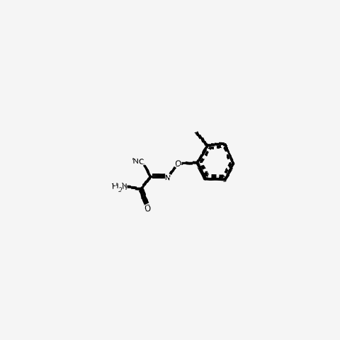 Cc1ccccc1O/N=C(\C#N)C(N)=O